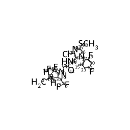 C=C1[C@@H]2c3c(C(F)F)nn(CC(=O)N[C@@H](Cc4cc(F)cc(F)c4)c4ncc(SC)nc4Cl)c3C(F)(F)[C@H]12